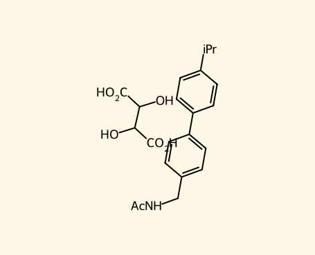 CC(=O)NCc1ccc(-c2ccc(C(C)C)cc2)cc1.O=C(O)C(O)C(O)C(=O)O